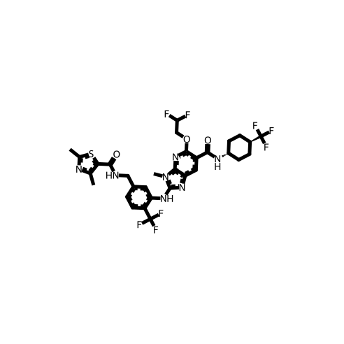 Cc1nc(C)c(C(=O)NCc2ccc(C(F)(F)F)c(Nc3nc4cc(C(=O)N[C@H]5CC[C@H](C(F)(F)F)CC5)c(OCC(F)F)nc4n3C)c2)s1